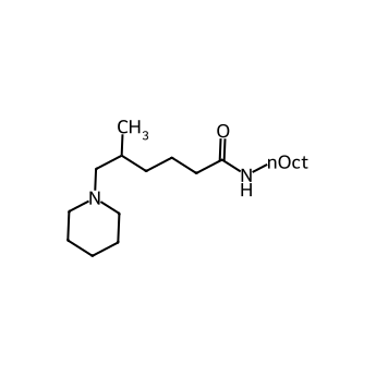 CCCCCCCCNC(=O)CCCC(C)CN1CCCCC1